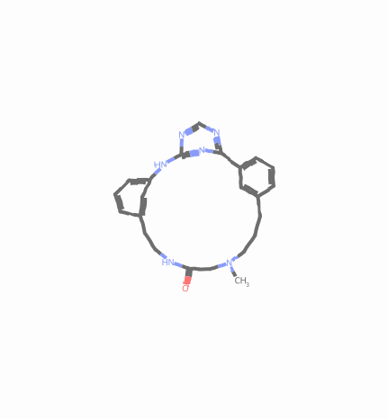 CN1CCCc2cccc(c2)-c2ncnc(n2)Nc2cccc(c2)CCNC(=O)C1